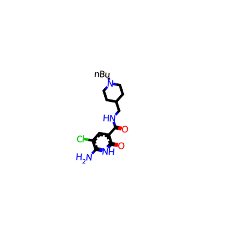 CCCCN1CCC(CNC(=O)c2cc(Cl)c(N)[nH]c2=O)CC1